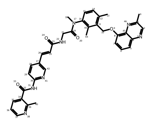 Cc1cnc2cccc(OCc3c(C)ccc(N(C)C(=O)CNC(=O)C=Cc4ccc(NC(=O)c5cccnc5C)nc4)c3C)c2n1